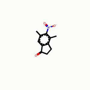 Cc1cc2c(c(C)c1[N+](=O)[O-])CCC2=O